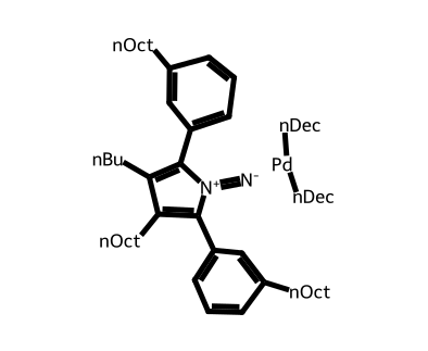 CCCCCCCCC1=C(c2cccc(CCCCCCCC)c2)[N+](=[N-])C(c2cccc(CCCCCCCC)c2)=C1CCCC.CCCCCCCCC[CH2][Pd][CH2]CCCCCCCCC